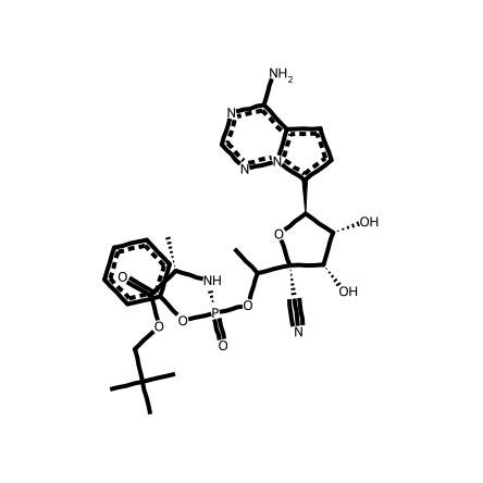 CC(O[P@](=O)(N[C@@H](C)C(=O)OCC(C)(C)C)Oc1ccccc1)[C@@]1(C#N)O[C@@H](c2ccc3c(N)ncnn23)[C@H](O)[C@@H]1O